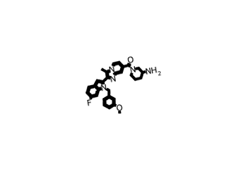 COc1cccc(Cn2c(-c3nc4cc(C(=O)N5CCCC(N)C5)ccn4c3C)cc3ccc(F)cc32)c1